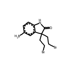 Bc1ccc2c(c1)C(CCBr)(CCBr)C(=O)N2